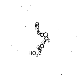 O=C(O)C[C@@H]1COc2cc(OCc3cc4c(cc3F)CCCc3cc(OCCN5CCOCC5)ccc3-4)ccc21